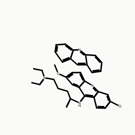 CCN(CC)CCCC(C)Nc1c2ccc(Cl)cc2nc2ccc(OC)cc12.c1ccc2nc3ccccc3cc2c1